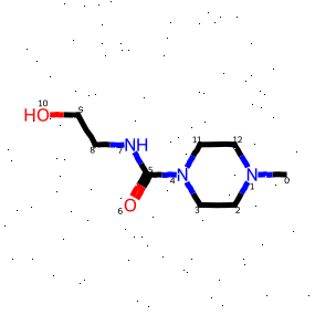 CN1CCN(C(=O)NCCO)CC1